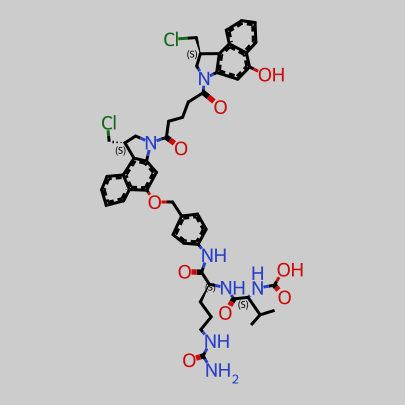 CC(C)[C@H](NC(=O)O)C(=O)N[C@@H](CCCNC(N)=O)C(=O)Nc1ccc(COc2cc3c(c4ccccc24)[C@H](CCl)CN3C(=O)CCCC(=O)N2C[C@@H](CCl)c3c2cc(O)c2ccccc32)cc1